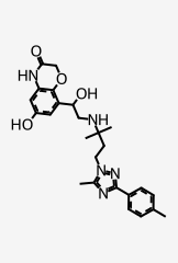 Cc1ccc(-c2nc(C)n(CCC(C)(C)NCC(O)c3cc(O)cc4c3OCC(=O)N4)n2)cc1